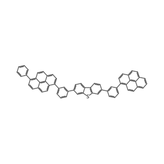 c1ccc(-c2ccc3ccc4c(-c5cccc(-c6ccc7c(c6)sc6cc(-c8cccc(-c9ccc%10ccc%11cccc%12ccc9c%10c%11%12)c8)ccc67)c5)ccc5ccc2c3c54)cc1